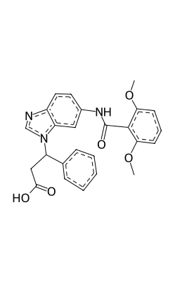 COc1cccc(OC)c1C(=O)Nc1ccc2ncn(C(CC(=O)O)c3ccccc3)c2c1